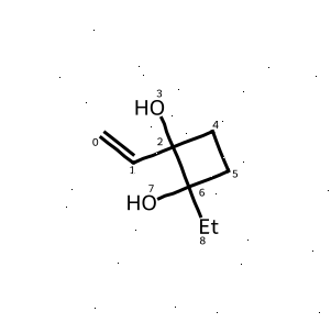 C=CC1(O)CCC1(O)CC